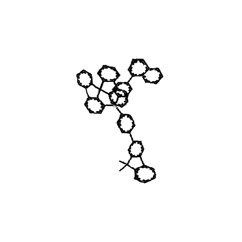 CC1(C)c2ccccc2-c2ccc(-c3ccc(N(c4ccc(-c5cccc6ccccc56)cc4)c4cccc5c4C4(c6ccccc6-c6ccccc64)c4ccccc4-5)cc3)cc21